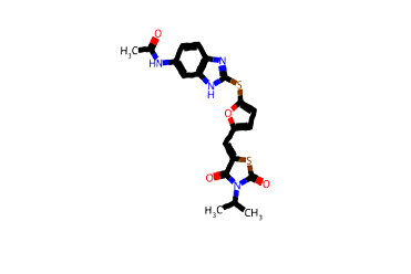 CC(=O)Nc1ccc2nc(Sc3ccc(/C=C4\SC(=O)N(C(C)C)C4=O)o3)[nH]c2c1